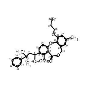 COc1c(C(O)CC(C)(C)c2ccccc2)ccc2c1C(=O)OCc1cc(C)cc(OCCC(C)C)c1O2